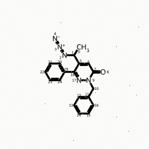 CC(N=[N+]=[N-])c1cc(=O)n(Cc2ccccc2)nc1-c1ccccc1